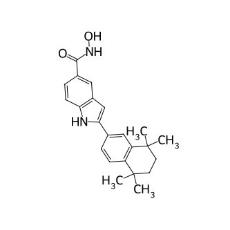 CC1(C)CCC(C)(C)c2cc(-c3cc4cc(C(=O)NO)ccc4[nH]3)ccc21